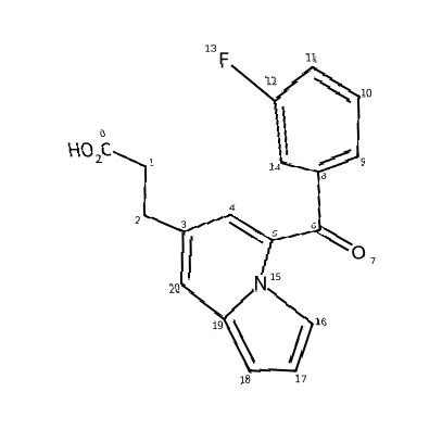 O=C(O)CCc1cc(C(=O)c2cccc(F)c2)n2cccc2c1